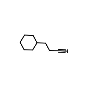 N#CCCC1CCCCC1